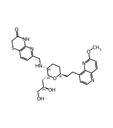 COc1ccc2nccc(CC[C@@H]3CC[C@@H](NCc4ccc5c(n4)NC(=O)CS5)[C@@H](C[C@@H](O)CO)O3)c2n1